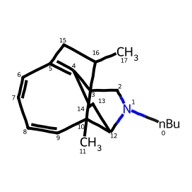 CCCCN1CC23C4=C(/C=C\C=C/C2(C)C1CC4)CC3C